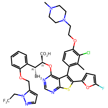 B[C@H](c1ccccc1OCc1ccnn1CC(F)(F)F)[C@H](Oc1ncnc2sc(-c3ccc(F)o3)c(-c3ccc(OCCN4CCN(C)CC4)c(Cl)c3C)c12)C(=O)O